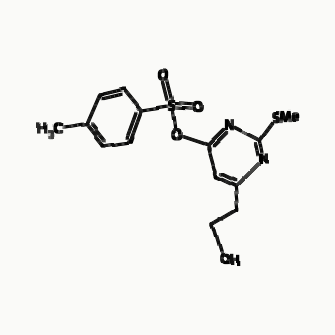 CSc1nc(CCO)cc(OS(=O)(=O)c2ccc(C)cc2)n1